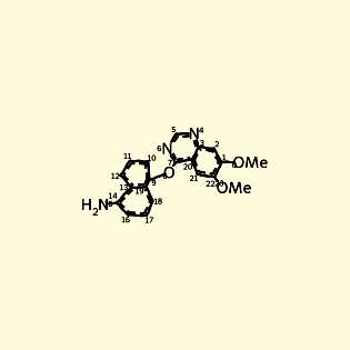 COc1cc2ncnc(Oc3cccc4c(N)cccc34)c2cc1OC